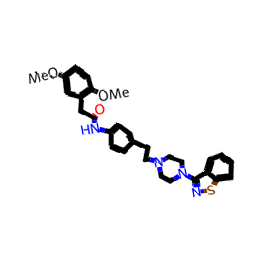 COc1ccc(OC)c(CC(=O)Nc2ccc(CCN3CCN(c4nsc5ccccc45)CC3)cc2)c1